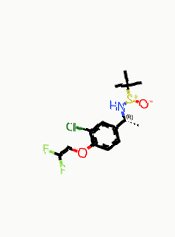 C[C@@H](N[S+]([O-])C(C)(C)C)c1ccc(OCC(F)F)c(Cl)c1